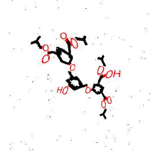 CC(C)COC(=O)C1=CC(OCc2cc(O)cc(COc3cc(C(=O)OCC(C)C)cc(C(O)OCC(C)C)c3)c2)CC(C(=O)OCC(C)C)=C1